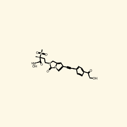 C[C@@](CCN1Cc2cc(C#Cc3ccc(C(=O)CO)cc3)cn2C1=O)(C(=O)NO)S(C)(=O)=O